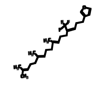 CC(C)=CCC/C(C)=C/CC/C(C)=C/CC/C(=C/CCc1ccoc1)C(F)(F)F